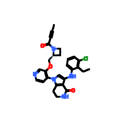 CC#CC(=O)N1CC[C@@H]1COc1cnccc1-n1cc(Nc2cccc(Cl)c2CC)c2c1CCNC2=O